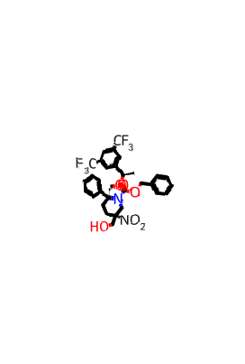 C[C@@H](OC[C@@]1(c2ccccc2)CCC(CO)([N+](=O)[O-])CN1C(=O)OCc1ccccc1)c1cc(C(F)(F)F)cc(C(F)(F)F)c1